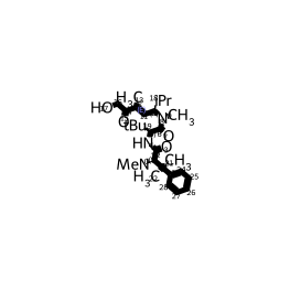 CN[C@H](C(=O)N[C@H](C(=O)N(C)[C@H](/C=C(\C)C(=O)CO)C(C)C)C(C)(C)C)C(C)(C)c1ccccc1